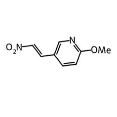 COc1ccc(C=C[N+](=O)[O-])cn1